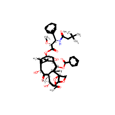 CO[C@@H](C(=O)O[C@H]1C[C@@]2(O)[C@@H](OC(=O)c3ccccc3)[C@H]3[C@](C)(C(=O)[C@H](O)C(=C1C)C2(C)C)[C@@H](O)CC1OC[C@]13OC(C)=O)[C@@H](NC(=O)CC(C)(C)C)c1ccccc1